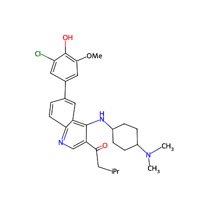 COc1cc(-c2ccc3ncc(C(=O)CC(C)C)c(NC4CCC(N(C)C)CC4)c3c2)cc(Cl)c1O